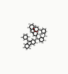 c1ccc(-c2cccc3c2Sc2c(cccc2N(c2ccc4c(c2)sc2ccccc24)c2ccc4c5ccccc5n(-c5ccccc5)c4c2)C3)cc1